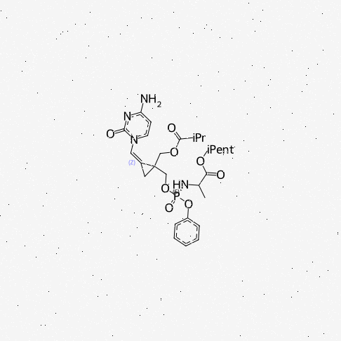 CCCC(C)OC(=O)C(C)N[P@](=O)(OCC1(COC(=O)C(C)C)C/C1=C/n1ccc(N)nc1=O)Oc1ccccc1